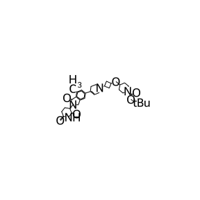 Cc1cc(C2=CCN([C@H]3C[C@H](OC4CCN(C(=O)OC(C)(C)C)CC4)C3)CC2)cc2c1C(=O)N(C1CCC(=O)NC1=O)C2